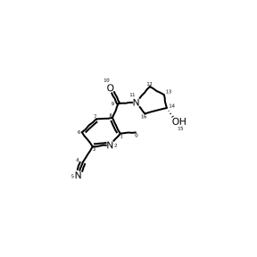 Cc1nc(C#N)ccc1C(=O)N1CC[C@H](O)C1